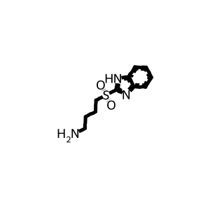 NCCCCS(=O)(=O)c1nc2ccccc2[nH]1